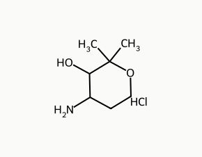 CC1(C)OCCC(N)C1O.Cl